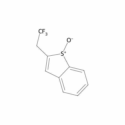 [O-][s+]1c(CC(F)(F)F)cc2ccccc21